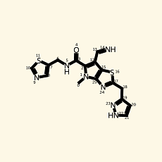 Cn1c(C(=O)NCc2cncs2)c(C=N)c2sc(Cc3cc[nH]n3)nc21